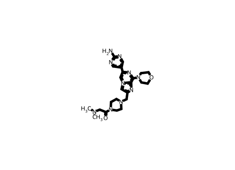 CN(C)CC(=O)N1CCN(Cc2cn3cc(-c4cnc(N)nc4)nc(N4CCOCC4)c3n2)CC1